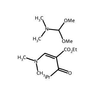 CCOC(=O)C(=CN(C)C)C(=O)C(C)C.COC(OC)N(C)C